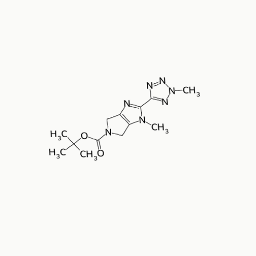 Cn1nnc(-c2nc3c(n2C)CN(C(=O)OC(C)(C)C)C3)n1